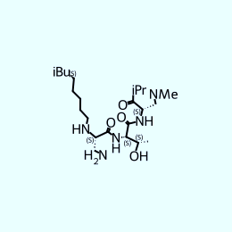 CC[C@H](C)CCCCCN[C@@H](CN)C(=O)N[C@H](C(=O)N[C@@H](CNC)C(=O)C(C)C)[C@H](C)O